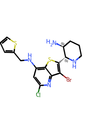 N[C@H]1CCCN[C@@H]1c1sc2c(NCc3cccs3)cc(Cl)nc2c1Br